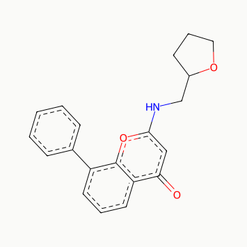 O=c1cc(NCC2CCCO2)oc2c(-c3ccccc3)cccc12